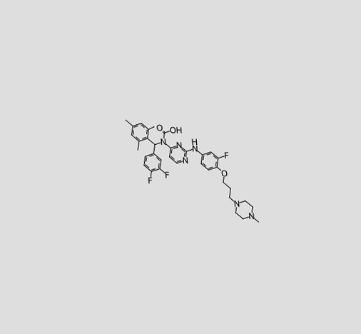 Cc1cc(C)c(C(c2ccc(F)c(F)c2)N(C(=O)O)c2ccnc(Nc3ccc(OCCCN4CCN(C)CC4)c(F)c3)n2)c(C)c1